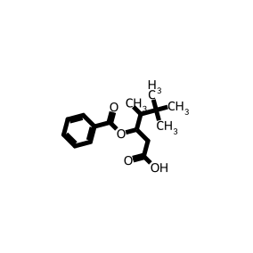 CC(C(CC(=O)O)OC(=O)c1ccccc1)C(C)(C)C